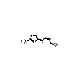 CC/C=C\C=C1/CSC(C)=N1